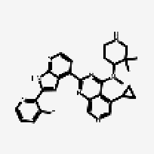 CN(c1nc(-c2ccnc3[nH]c(-c4ncccc4F)cc23)nc2cncc(C3CC3)c12)C1CCNCC1(C)C